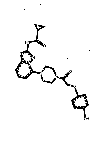 O=C(Nc1nc2cccc(N3CCN(C(=O)COc4ccc(O)cc4)CC3)n2n1)C1CC1